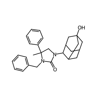 CC1(c2ccccc2)CN(C2C3CC4CC2CC(O)(C4)C3)C(=O)N1Cc1ccccc1